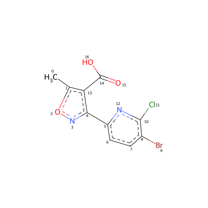 Cc1onc(-c2ccc(Br)c(Cl)n2)c1C(=O)O